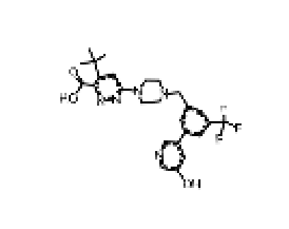 CC(C)(C)c1cc(N2CCN(Cc3cc(-c4cncc(O)c4)cc(C(F)(F)F)c3)CC2)nnc1C(=O)O